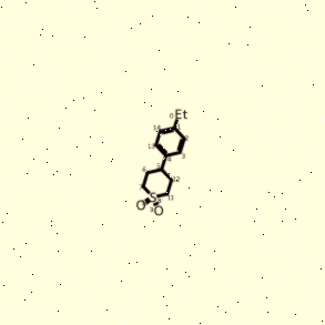 CCc1ccc(C2CCS(=O)(=O)CC2)cc1